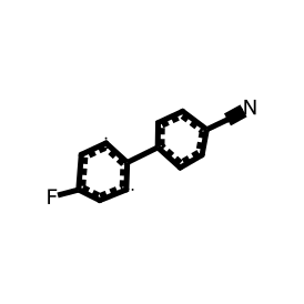 N#Cc1ccc(-c2[c]cc(F)c[c]2)cc1